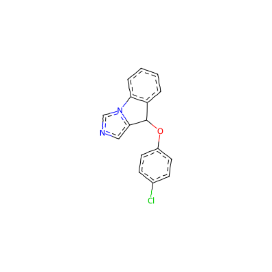 Clc1ccc(OC2c3ccccc3-n3cncc32)cc1